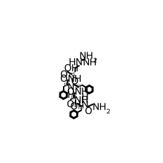 N=C(N)NCCC[C@H](NC(=O)[C@H](Cc1ccccc1)NC(=O)[C@@H](Cc1ccccc1)NC(=O)[C@H](CO)NC(=O)[C@H](Cc1ccccc1)NC(=O)CN)C(=O)O